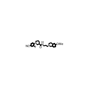 COc1ccc2c(c1)CCN(CCCNC(=O)C1CCCN(c3ccc(C#N)cc3F)C1)C2